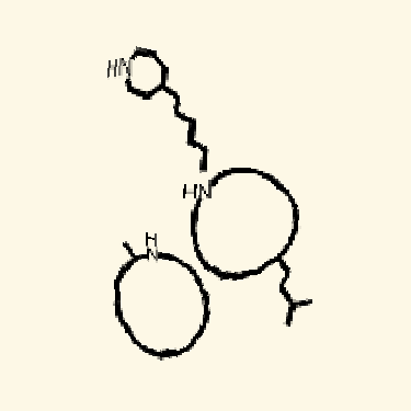 CC(C)CCC1CCCCCCCCNCCCCCCC1.CC1CCCCCCC=CCCCCCCCN1.CCCCCCC1CCCNCC1